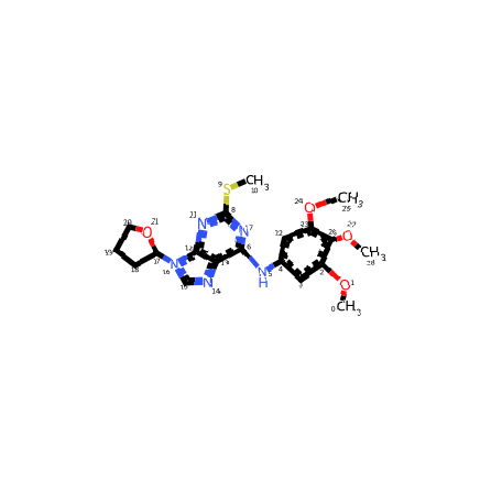 COc1cc(Nc2nc(SC)nc3c2ncn3C2CCCO2)cc(OC)c1OC